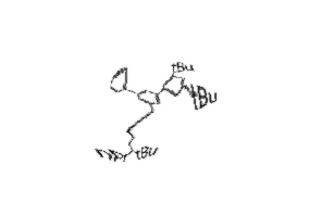 CCCC(CCCCc1cc(-c2ccccc2)cc(-c2cc(C(C)(C)C)cc(C(C)(C)C)c2)c1)C(C)(C)C